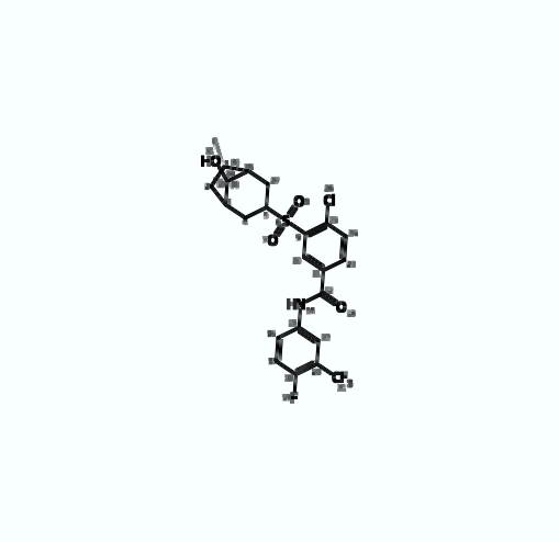 C[C@H]1CC2CC(S(=O)(=O)c3cc(C(=O)Nc4ccc(F)c(C(F)(F)F)c4)ccc3Cl)CC1[C@]2(C)O